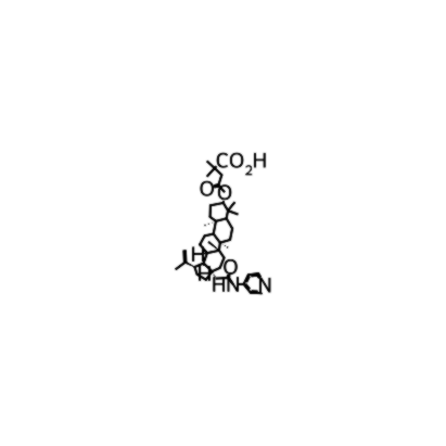 C=C(C)[C@@H]1CC[C@]2(CC(=O)Nc3ccncc3)CC[C@]3(C)[C@H](CCC4[C@@]5(C)CC[C@H](OC(=O)CC(C)(C)C(=O)O)C(C)(C)C5CC[C@]43C)[C@@H]12